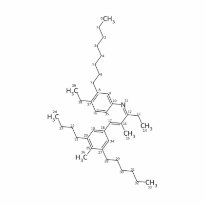 CCCCCCCCc1cc(N=C(CC)C(C)=Cc2cc(CCCC)c(C)c(CCCCCC)c2)ccc1CC